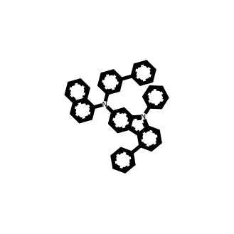 c1ccc(-c2cccc(N(c3ccc4c5c(-c6ccccc6)cccc5n(-c5ccccc5)c4c3)c3cccc4ccccc34)c2)cc1